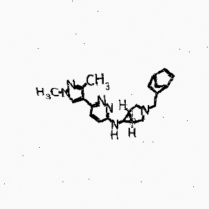 Cc1nn(C)cc1-c1ccc(NC2[C@@H]3CN(CC4CC5C=CC4C5)C[C@@H]23)nn1